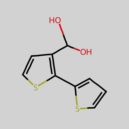 OC(O)c1ccsc1-c1cccs1